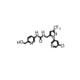 O=C(NCc1cc(C(F)(F)F)nn1-c1cncc(Cl)c1)Nc1ccc(CO)nc1